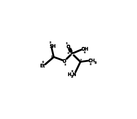 CCC(S)OP(=O)(O)C(C)N